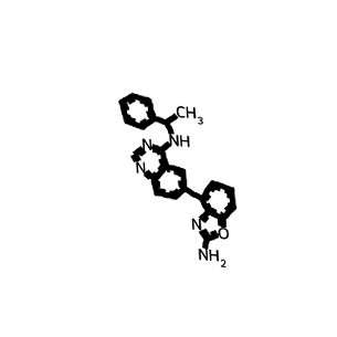 CC(Nc1ncnc2ccc(-c3cccc4oc(N)nc34)cc12)c1ccccc1